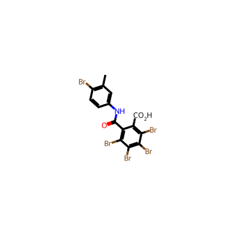 Cc1cc(NC(=O)c2c(Br)c(Br)c(Br)c(Br)c2C(=O)O)ccc1Br